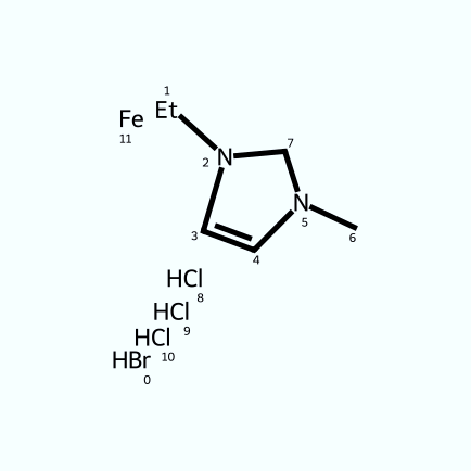 Br.CCN1C=CN(C)C1.Cl.Cl.Cl.[Fe]